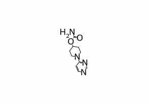 NC(=O)OC1CCN(c2ccncn2)CC1